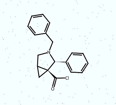 O=C(Cl)[C@@]12CC1CN(Cc1ccccc1)[C@@H]2c1ccccc1